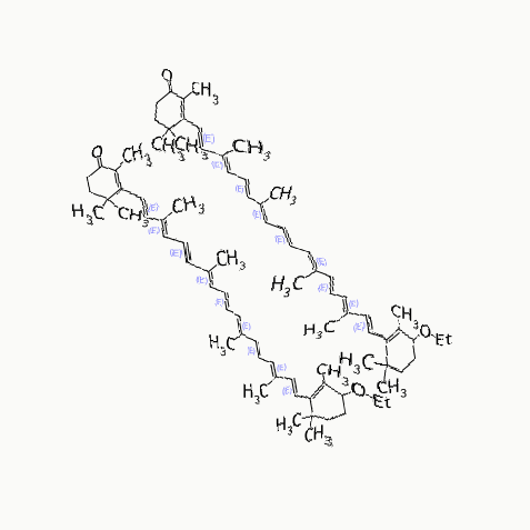 CCOC1CCC(C)(C)C(/C=C/C(C)=C/C=C/C(C)=C/C=C/C=C(C)/C=C/C=C(C)/C=C/C2=C(C)C(=O)CCC2(C)C)=C1C.CCOC1CCC(C)(C)C(/C=C/C(C)=C/C=C/C(C)=C/C=C/C=C(C)/C=C/C=C(C)/C=C/C2=C(C)C(=O)CCC2(C)C)=C1C